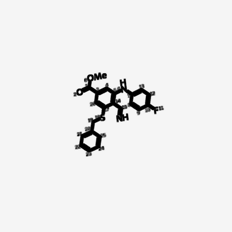 COC(=O)c1cc(Nc2ccc(F)cc2)c(C=N)c(SCc2ccccc2)c1